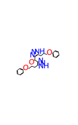 O=C(c1nn[nH]c1CCCOc1ccccc1)c1nn[nH]c1CCCOc1ccccc1